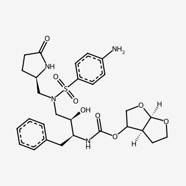 Nc1ccc(S(=O)(=O)N(C[C@H]2CCC(=O)N2)C[C@@H](O)[C@H](Cc2ccccc2)NC(=O)OC2CO[C@H]3OCC[C@@H]23)cc1